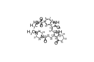 CNS(=O)(=O)c1ccc2c(c1)C(=Cc1[nH]c3c(c1CCC(=O)N1CCN(C)CC1)C(=O)CCC3)C(=O)N2